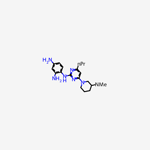 CCCc1cc(N2CCCC(NC)C2)nc(Nc2ccc(N)cc2N)n1